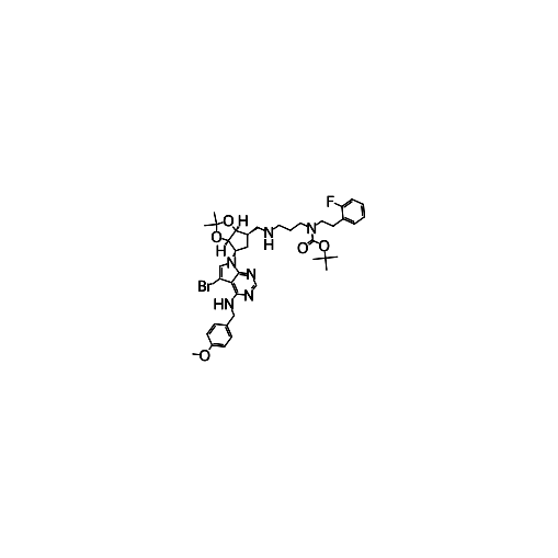 COc1ccc(CNc2ncnc3c2c(Br)cn3[C@@H]2C[C@H](CNCCCN(CCc3ccccc3F)C(=O)OC(C)(C)C)[C@H]3OC(C)(C)O[C@H]32)cc1